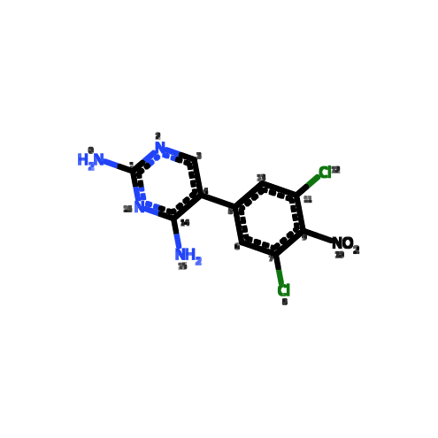 Nc1ncc(-c2cc(Cl)c([N+](=O)[O-])c(Cl)c2)c(N)n1